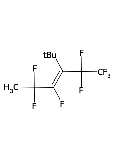 CC(C)(C)C(=C(F)C(C)(F)F)C(F)(F)C(F)(F)F